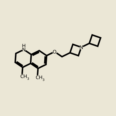 CC1=CCNc2cc(OCC3CN(C4CCC4)C3)cc(C)c21